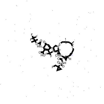 C[C@H]1CC/C=C\[C@@H]2C[C@@]2(C(=O)NS(=O)(=O)C2(CF)CC2)NC(=O)[C@@H]2C[C@H](C3=CC(=O)[C@@H](NC(=O)OC(C)(C)C(F)(F)F)C(C(=O)O)=C3C(F)(F)F)CN2CC[C@H](C)C1